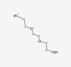 C[C](C)CCOCCOCCO